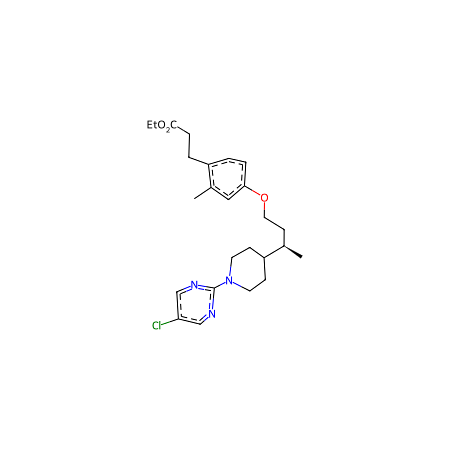 CCOC(=O)CCc1ccc(OCC[C@@H](C)C2CCN(c3ncc(Cl)cn3)CC2)cc1C